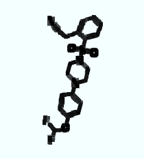 N#CCc1ccccc1S(=O)(=O)N1CCN(c2ccc(OC(F)F)cc2)CC1